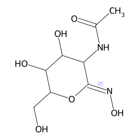 CC(=O)NC1/C(=N/O)OC(CO)C(O)C1O